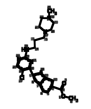 COC(=O)c1ccc2cc(-c3nc(NCCCN4CCN(C)CC4)ncc3Cl)sc2c1